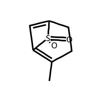 CC1=C2C=C(CC1)S2(=O)=O